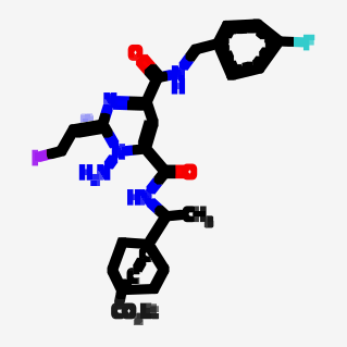 CCOC(=O)C12CCC(C(C)NC(=O)C3=CC(C(=O)NCc4ccc(F)cc4)=N/C(=C/CI)N3N)(CC1)CC2